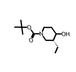 CC[C@@H]1CN(C(=O)OC(C)(C)C)CCC1O